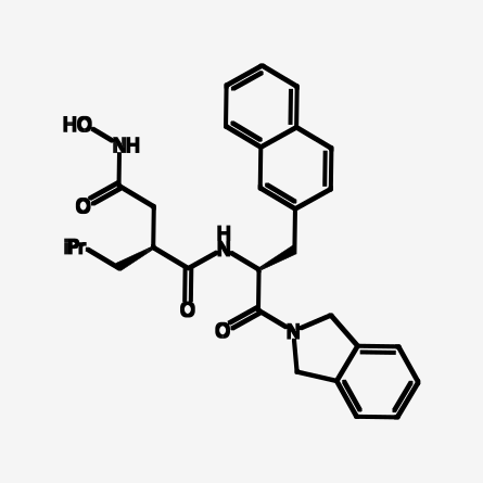 CC(C)C[C@@H](CC(=O)NO)C(=O)N[C@@H](Cc1ccc2ccccc2c1)C(=O)N1Cc2ccccc2C1